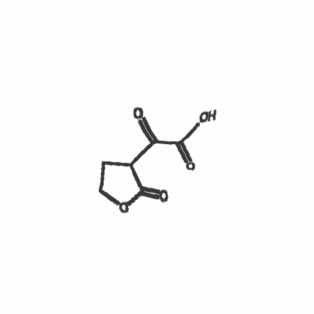 O=C(O)C(=O)C1CCOC1=O